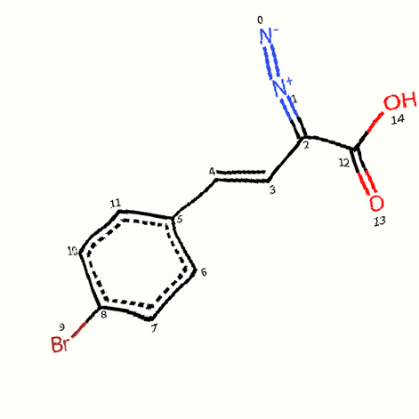 [N-]=[N+]=C(C=Cc1ccc(Br)cc1)C(=O)O